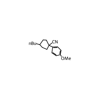 CCCCC1CCC(C#N)(c2ccc(OC)cc2)CC1